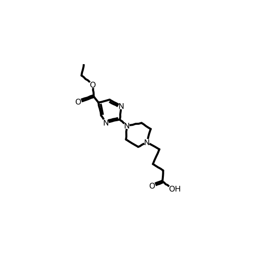 CCOC(=O)c1cnc(N2CCN(CCCC(=O)O)CC2)nc1